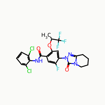 C[C@H](Oc1cc(-n2nc3n(c2=O)CCCC3)c(F)cc1C(=O)Nc1c(Cl)cccc1Cl)C(F)(F)F